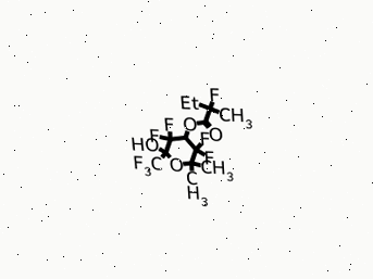 CCC(C)(F)C(=O)OC1C(F)(F)C(C)(C)OC(O)(C(F)(F)F)C1(F)F